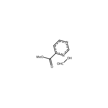 COC(=O)c1ccncn1.O=CO